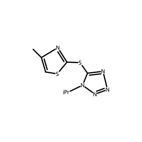 Cc1csc(Sc2nnnn2C(C)C)n1